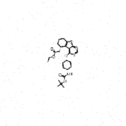 CCOC(=O)C[C@@H]1CCCc2sc3ncnc(O[C@H]4CC[C@@H](NC(=O)OC(C)(C)C)CC4)c3c21